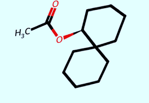 CC(=O)O[C@H]1CCCCC12CCCCC2